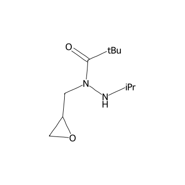 CC(C)NN(CC1CO1)C(=O)C(C)(C)C